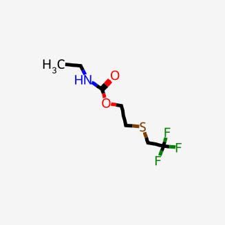 CCNC(=O)OCCSCC(F)(F)F